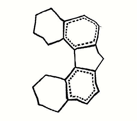 [c]1cc2c(c3c1Cc1ccc4c(c1-3)CCCC4)CCCC2